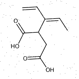 C=CC(=CC)C(CC(=O)O)C(=O)O